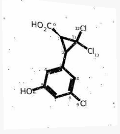 O=C(O)[C@@H]1C(c2cc(O)cc(Cl)c2)C1(Cl)Cl